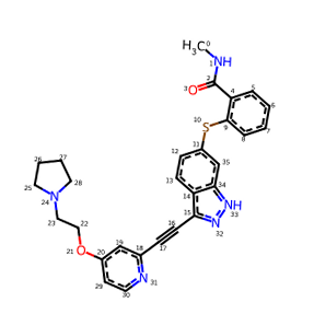 CNC(=O)c1ccccc1Sc1ccc2c(C#Cc3cc(OCCN4CCCC4)ccn3)n[nH]c2c1